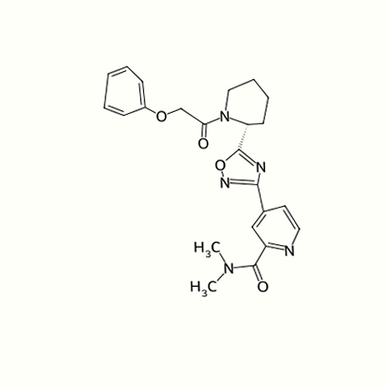 CN(C)C(=O)c1cc(-c2noc([C@H]3CCCCN3C(=O)COc3ccccc3)n2)ccn1